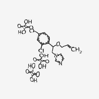 C=CCOC(Cn1ccnc1)c1ccc(Cl)cc1Cl.O=S(=O)(O)O.O=S(=O)(O)O.O=S(=O)(O)O